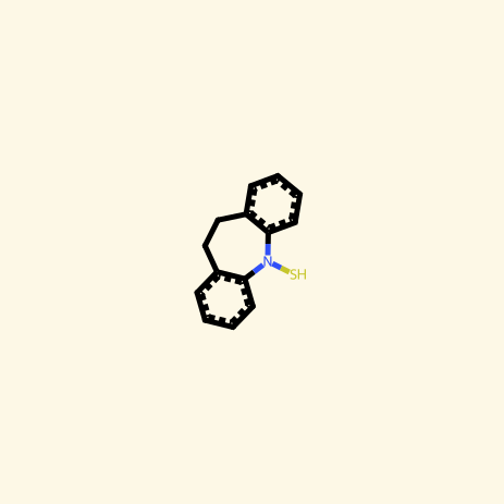 SN1c2ccccc2CCc2ccccc21